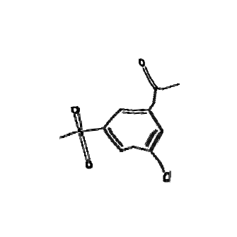 CC(=O)c1cc(Cl)cc(S(C)(=O)=O)c1